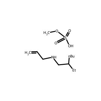 C=CCNCC(CC)CCCC.COS(=O)(=O)O